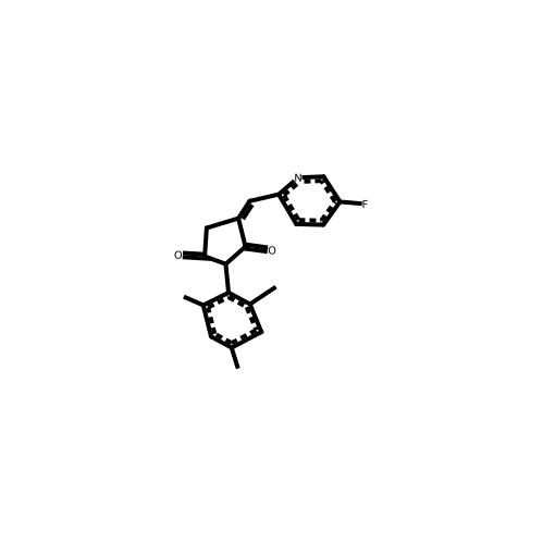 Cc1cc(C)c(C2C(=O)CC(=Cc3ccc(F)cn3)C2=O)c(C)c1